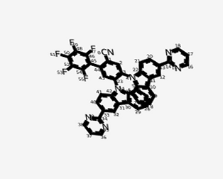 N#Cc1cc(-n2c3ccccc3c3cc(-c4ncccn4)ccc32)c(-n2c3ccccc3c3cc(-c4ncccn4)ccc32)cc1-c1c(F)c(F)c(F)c(F)c1F